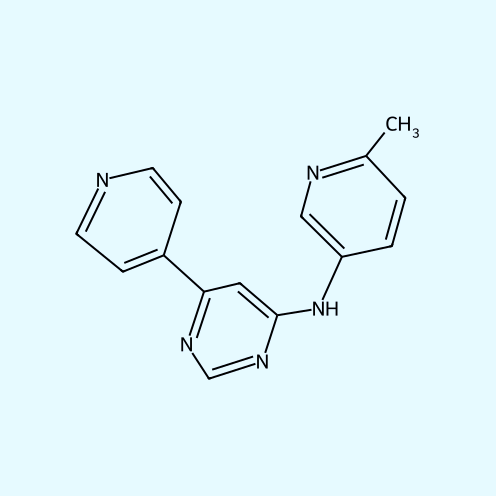 Cc1ccc(Nc2cc(-c3ccncc3)ncn2)cn1